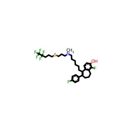 CN(CCCCCCC1=C(c2ccc(F)cc2)CCCc2c1ccc(O)c2F)CCCSCCCC(F)(F)C(F)(F)F